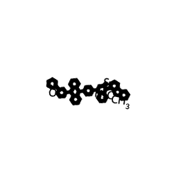 CC1(C)c2ccccc2-c2ccc3sc4cc(-c5ccc(-c6c7ccccc7c(-c7ccc8oc9ccccc9c8c7)c7ccccc67)cc5)c5ccccc5c4c3c21